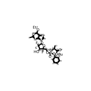 CCOc1nc(C)nc2c1ncn2[C@@H]1O[C@](F)(COP(=O)(NC(C)C(=O)OCC(C)C)Oc2ccccc2)[C@@H](O)[C@@]1(C)F